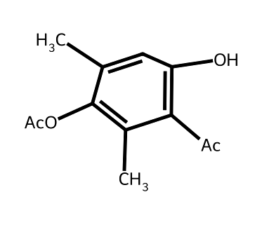 CC(=O)Oc1c(C)cc(O)c(C(C)=O)c1C